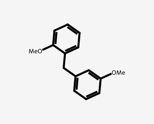 COc1cccc(Cc2ccccc2OC)c1